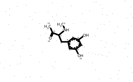 CNC(Cc1cc(O)cc(O)c1)C(C)=O